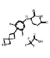 O=C(O)C(F)(F)F.O=C1CCC(Nc2cc(F)c(C3CC4(CNC4)C3)c(F)c2)C(=O)N1